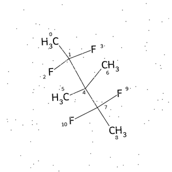 CC(F)(F)C(C)(C)C(C)(F)F